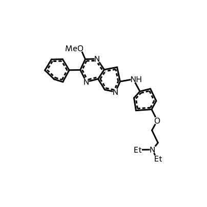 CCN(CC)CCOc1ccc(Nc2cc3nc(OC)c(-c4ccccc4)nc3cn2)cc1